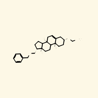 COCO[C@H]1CC[C@@]2(C)C(=CC[C@H]3[C@@H]4CC[C@H](COCc5ccccc5)[C@@]4(C)CC[C@@H]32)C1